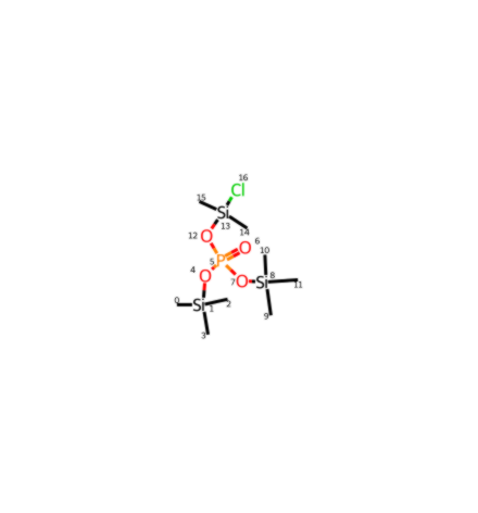 C[Si](C)(C)OP(=O)(O[Si](C)(C)C)O[Si](C)(C)Cl